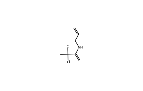 C=CCNC(=C)C(C)(Cl)Cl